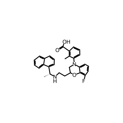 Cc1c(C(=O)O)cccc1N1CC(CCN[C@H](C)c2cccc3ccccc23)Oc2c(F)cccc21